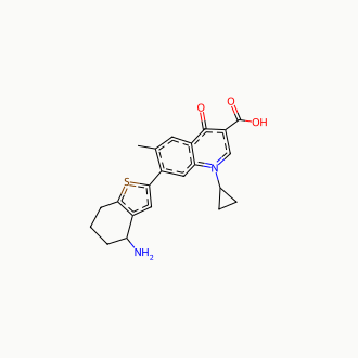 Cc1cc2c(=O)c(C(=O)O)cn(C3CC3)c2cc1-c1cc2c(s1)CCCC2N